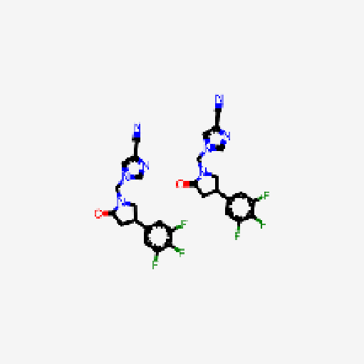 N#Cc1cn(CN2CC(c3cc(F)c(F)c(F)c3)CC2=O)cn1.N#Cc1cn(CN2CC(c3cc(F)c(F)c(F)c3)CC2=O)cn1